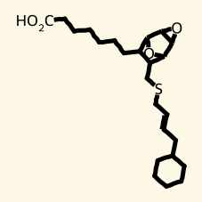 O=C(O)CCCCCCC1C(CSCC=CCC2CCCCC2)C2OC1C1OC21